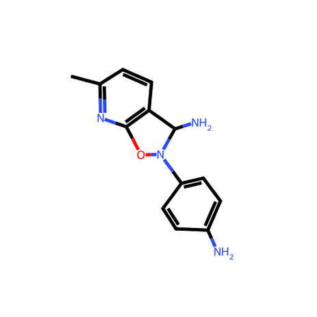 Cc1ccc2c(n1)ON(c1ccc(N)cc1)C2N